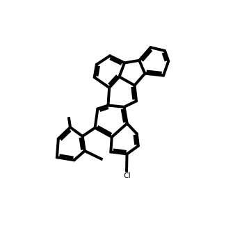 Cc1cccc(C)c1-c1cc2c3cccc4c3c(cc2c2ccc(Cl)cc12)-c1ccccc1-4